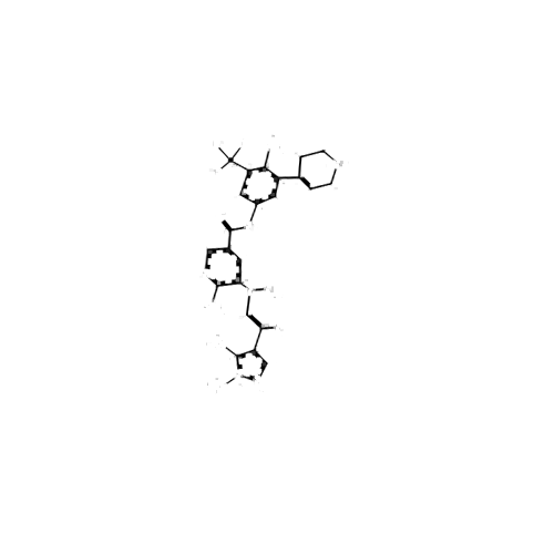 Cc1ncc(C(=O)Nc2cc(C3=CCNCC3)c(C)c(C(F)(F)F)c2)cc1N(N)/C=C(\N)c1cnn(C)c1C